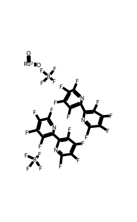 F[B-](F)(F)F.F[B-](F)(F)F.Fc1nc(-c2nc(F)c(F)c(F)c2F)c(F)c(F)c1F.Fc1nc(-c2nc(F)c(F)c(F)c2F)c(F)c(F)c1F.[O]=[Ru+2]=[O]